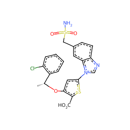 C[C@@H](Oc1cc(-n2cnc3ccc(CS(N)(=O)=O)cc32)sc1C(=O)O)c1ccccc1Cl